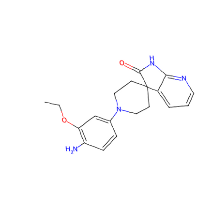 CCOc1cc(N2CCC3(CC2)C(=O)Nc2ncccc23)ccc1N